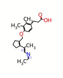 C/C=N\C=C(/C)C1=C(COc2ccc(CCC(=O)O)c(C)c2C)CCC1